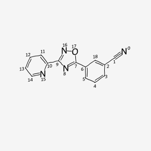 N#Cc1cccc(-c2nc(-c3ccccn3)no2)c1